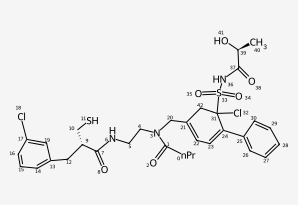 CCCC(=O)N(CCNC(=O)[C@@H](CS)Cc1cccc(Cl)c1)CC1=CC=C(c2ccccc2)C(Cl)(S(=O)(=O)NC(=O)[C@H](C)O)C1